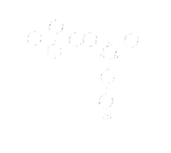 N#Cc1ccc(-c2ccc(-c3nc(-c4ccccc4)nc(-c4ccc5cc(-c6cccc(-c7ccccc7)c6-c6ccccc6)ccc5c4)n3)cc2)cc1